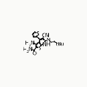 CC(C)(C)CCNc1nc2sc(C(N)=O)c(N)c2c(-c2cccs2)c1C#N